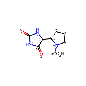 O=C1NC(=O)[C@H]([C@@H]2CCCN2C(=O)O)N1